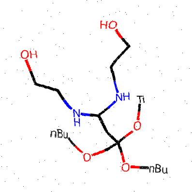 CCCCOC([O][Ti])(OCCCC)C(NCCO)NCCO